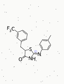 Cc1ccc(/N=C2/NC(=O)C(Cc3cccc(C(F)(F)F)c3)S2)cc1